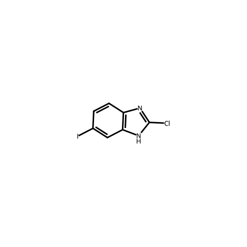 Clc1nc2ccc(I)cc2[nH]1